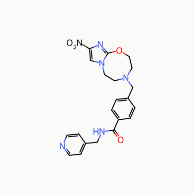 O=C(NCc1ccncc1)c1ccc(CN2CCOc3nc([N+](=O)[O-])cn3CC2)cc1